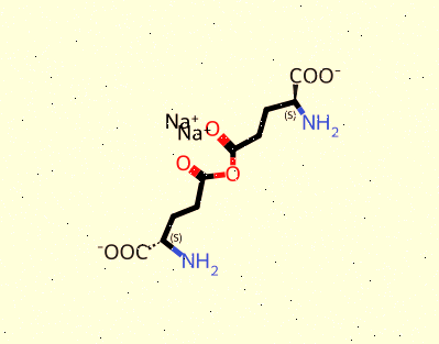 N[C@@H](CCC(=O)OC(=O)CC[C@H](N)C(=O)[O-])C(=O)[O-].[Na+].[Na+]